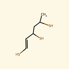 CC(S)CC(S)C=[C]S